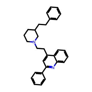 c1ccc(CCC2CCCN(CCc3cc(-c4ccccc4)nc4ccccc34)C2)cc1